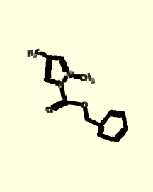 Cc1cn(C(=O)OCc2ccccc2)[n+](C)c1